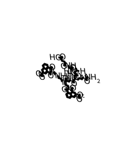 CC(C)C(NC(=O)CNC(=O)CCC(=O)O)C(=O)N[C@@H](CCCNC(N)=O)C(=O)NCC(=O)N(CCCNCCN1C(=O)c2cccc3cc([N+](=O)[O-])cc(c23)C1=O)CCN1C(=O)c2cccc3cc([N+](=O)[O-])cc(c23)C1=O